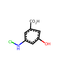 O=C(O)c1cc(O)cc(NCl)c1